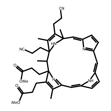 COC(=O)CCC1=C(C)C2=NC1(CCC(=O)OC)C(C)C1(CCC#N)NC(C)(C=C3C=CC(=N3)C=c3ccc([nH]3)=C2)C(CCC#N)=C1C